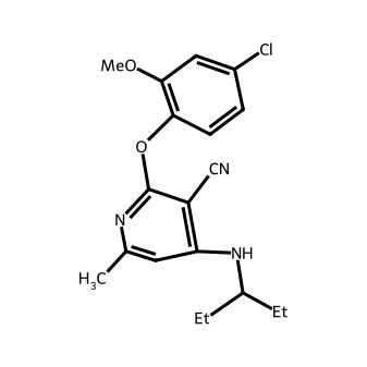 CCC(CC)Nc1cc(C)nc(Oc2ccc(Cl)cc2OC)c1C#N